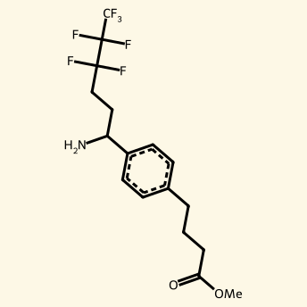 COC(=O)CCCc1ccc(C(N)CCC(F)(F)C(F)(F)C(F)(F)F)cc1